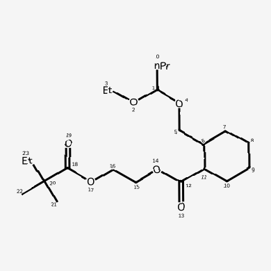 CCCC(OCC)OCC1CCCCC1C(=O)OCCOC(=O)C(C)(C)CC